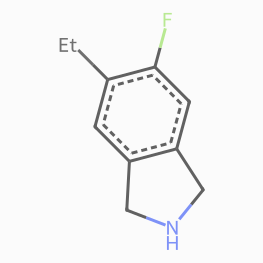 CCc1cc2c(cc1F)CNC2